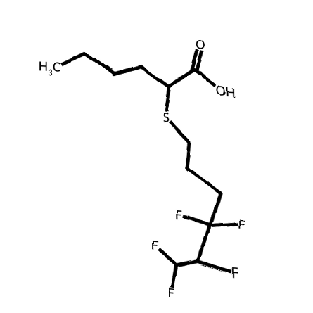 CCCCC(SCCCC(F)(F)C(F)C(F)F)C(=O)O